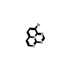 BrC1=CC=C2C=CN=C3N=CN=C1N23